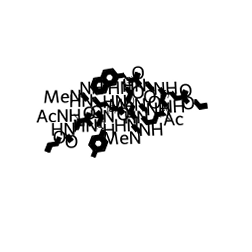 C=CCOC(=O)CC[C@H](NC(=O)CNC(=O)[C@H](Cc1ccc2ccccc2c1)NC(=O)[C@@H](CCCNC(=N)NC)NC(=O)[C@H](CCCNC(=N)NC)NC(=O)[C@H](Cc1ccc(C)cc1)NC(=O)[C@H](CNC(=O)OCC=C)NC(C)=O)C(=O)N[C@@H](CCCNC(=N)NC)C(C)=O